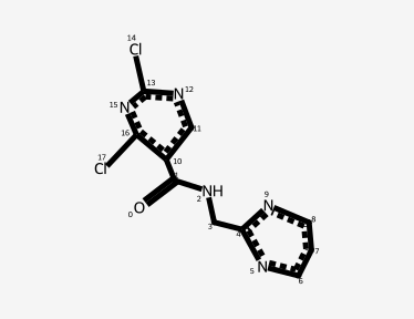 O=C(NCc1ncccn1)c1cnc(Cl)nc1Cl